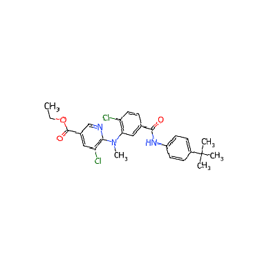 CCOC(=O)c1cnc(N(C)c2cc(C(=O)Nc3ccc(C(C)(C)C)cc3)ccc2Cl)c(Cl)c1